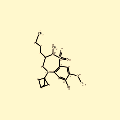 CCCCC1CN(C23CC(C2)C3)c2cc(Br)c(OC)cc2S(=O)(=O)N1C